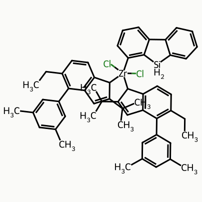 CCc1ccc2c(c1-c1cc(C)cc(C)c1)C=C(C(C)C)[CH]2[Zr]([Cl])([Cl])([c]1cccc2c1[SiH2]c1ccccc1-2)[CH]1C(C(C)C)=Cc2c1ccc(CC)c2-c1cc(C)cc(C)c1